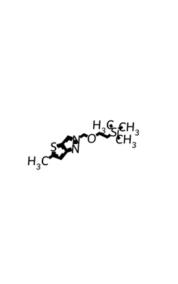 Cc1cc2nn(COCC[Si](C)(C)C)cc2s1